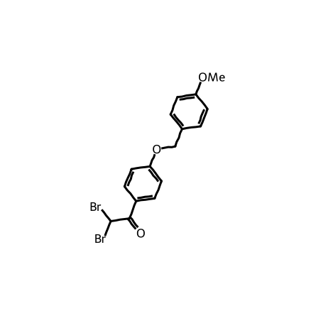 COc1ccc(COc2ccc(C(=O)C(Br)Br)cc2)cc1